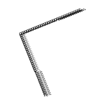 [Fe+3].[Fe+3].[Fe+3].[Fe+3].[Fe+3].[Fe+3].[Fe+3].[Fe+3].[Fe+3].[Fe+3].[Fe+3].[Fe+3].[Fe+3].[Fe+3].[Fe+3].[Fe+3].[Fe+3].[Fe+3].[Fe+3].[Fe+3].[Fe+3].[Fe+3].[Fe+3].[Fe+3].[Fe+3].[Fe+3].[Fe+3].[Fe+3].[O-2].[O-2].[O-2].[O-2].[O-2].[O-2].[O-2].[O-2].[O-2].[O-2].[O-2].[O-2].[O-2].[O-2].[O-2].[O-2].[O-2].[O-2].[O-2].[O-2].[O-2].[O-2].[O-2].[O-2].[O-2].[O-2].[O-2].[O-2].[O-2].[O-2].[O-2].[O-2].[O-2].[O-2].[O-2].[O-2].[O-2].[O-2].[O-2].[O-2].[O-2].[O-2]